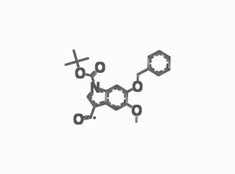 COc1cc2c([C]=O)cn(C(=O)OC(C)(C)C)c2cc1OCc1ccccc1